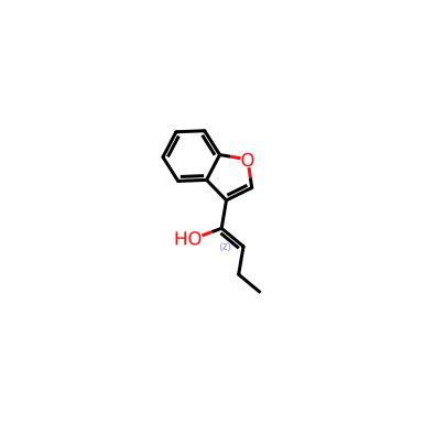 CC/C=C(\O)c1coc2ccccc12